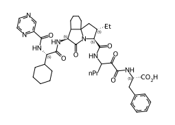 CCCC(NC(=O)[C@@H]1[C@@H](CC)CC23CCCCC2[C@H](NC(=O)[C@@H](NC(=O)c2cnccn2)C2CCCCC2)C(=O)N13)C(=O)C(=O)N[C@@H](Cc1ccccc1)C(=O)O